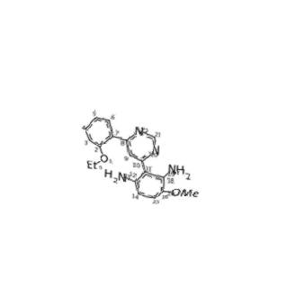 CCOc1ccccc1-c1cc(-c2c(N)ccc(OC)c2N)ncn1